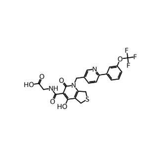 O=C(O)CNC(=O)c1c(O)c2c(n(Cc3ccc(-c4cccc(OC(F)(F)F)c4)nc3)c1=O)CSC2